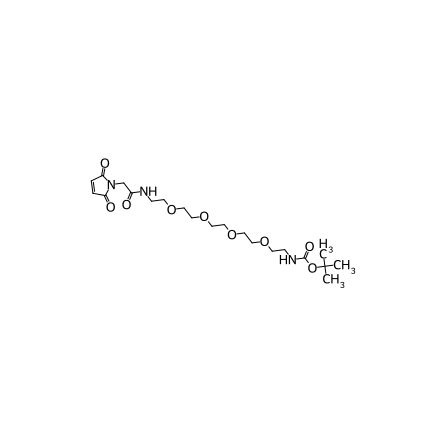 CC(C)(C)OC(=O)NCCOCCOCCOCCOCCNC(=O)CN1C(=O)C=CC1=O